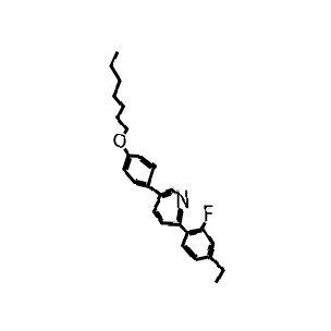 CCCCCCCOc1ccc(-c2ccc(-c3ccc(CC)cc3F)nc2)cc1